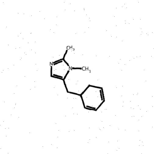 Cc1ncc(CC2C=CC=CC2)n1C